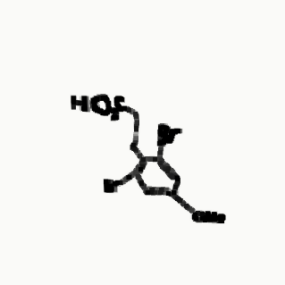 COc1cc(Br)c(CCC(=O)O)c(Br)c1